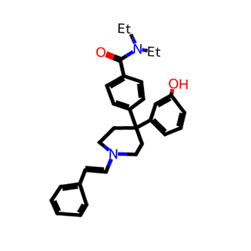 CCN(CC)C(=O)c1ccc(C2(c3cccc(O)c3)CCN(C=Cc3ccccc3)CC2)cc1